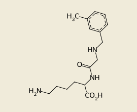 Cc1cccc(CNCC(=O)NC(CCCCN)C(=O)O)c1